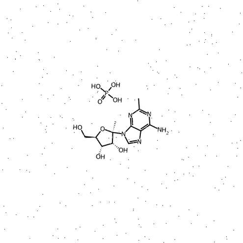 Cc1nc(N)c2ncn([C@]3(C)O[C@H](CO)[C@@H](O)[C@H]3O)c2n1.O=P(O)(O)O